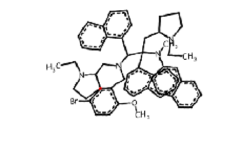 CCN1CCCC1CN(Cc1cc(Br)ccc1OC)C(c1cccc2ccccc12)C(CC1CCCN1CC)(c1cccc2ccccc12)N(C)c1ccc2ccccc2c1